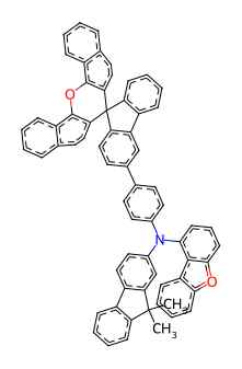 CC1(C)c2ccccc2-c2ccc(N(c3ccc(-c4ccc5c(c4)-c4ccccc4C54c5ccc6ccccc6c5Oc5c4ccc4ccccc54)cc3)c3cccc4oc5ccccc5c34)cc21